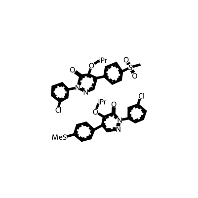 CC(C)Oc1c(-c2ccc(S(C)(=O)=O)cc2)cnn(-c2cccc(Cl)c2)c1=O.CSc1ccc(-c2cnn(-c3cccc(Cl)c3)c(=O)c2OC(C)C)cc1